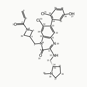 C=CC(=O)N1CC(Cn2c(=O)c(NC[C@@H]3CCCN3C)nc3cc(-c4cc(O)ccc4Cl)c(Cl)cc32)C1